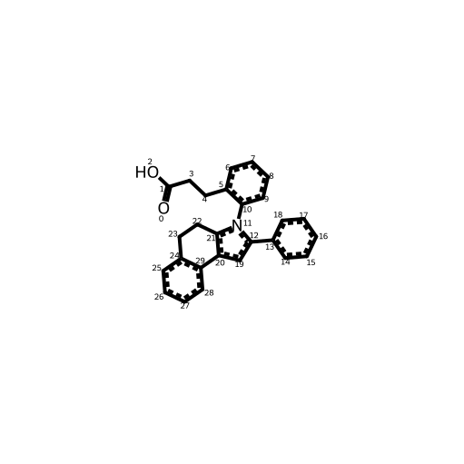 O=C(O)CCc1ccccc1-n1c(-c2ccccc2)cc2c1CCc1ccccc1-2